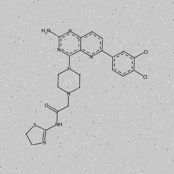 Nc1nc(N2CCN(CC(=O)NC3=NCCS3)CC2)c2nc(-c3ccc(Cl)c(Cl)c3)ccc2n1